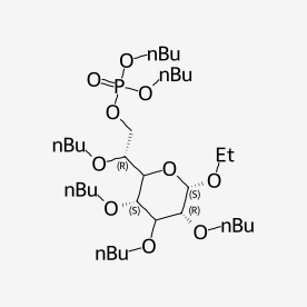 CCCCOC1[C@H](OCCCC)C([C@@H](COP(=O)(OCCCC)OCCCC)OCCCC)O[C@H](OCC)[C@@H]1OCCCC